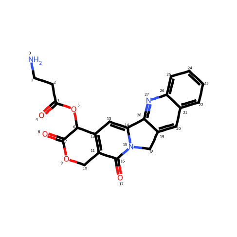 NCCC(=O)OC1C(=O)OCc2c1cc1n(c2=O)Cc2cc3ccccc3nc2-1